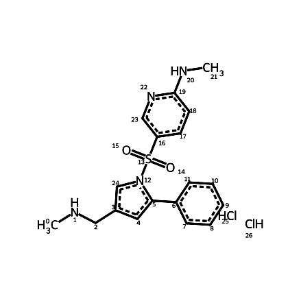 CNCc1cc(-c2ccccc2)n(S(=O)(=O)c2ccc(NC)nc2)c1.Cl.Cl